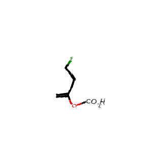 C=C(CCF)OC(=O)O